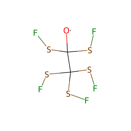 [O]C(SF)(SF)C(SF)(SF)SF